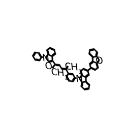 C=c1oc2c(/c1=C/C=C(\C)c1cccc(-n3c4ccccc4c4cc(-c5ccc6oc7ccccc7c6c5)ccc43)c1)c1ccccc1n2-c1ccccc1